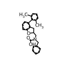 Cc1cccc(C)c1-c1cccc2c1CC(CN(Cc1ccccc1)C(=O)O)O2